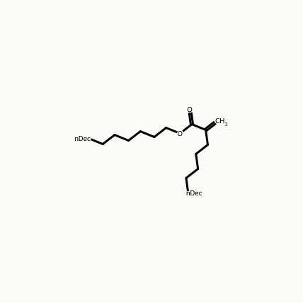 C=C(CCCCCCCCCCCCCC)C(=O)OCCCCCCCCCCCCCCCC